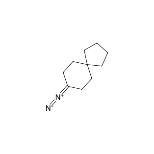 [N-]=[N+]=C1CCC2(CCCC2)CC1